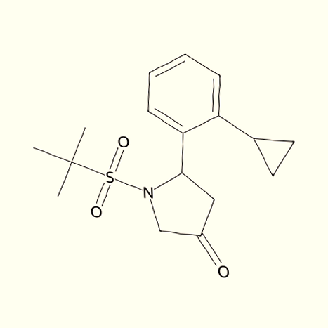 CC(C)(C)S(=O)(=O)N1CC(=O)CC1c1ccccc1C1CC1